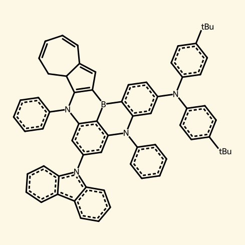 CC(C)(C)c1ccc(N(c2ccc(C(C)(C)C)cc2)c2ccc3c(c2)N(c2ccccc2)c2cc(-n4c5ccccc5c5ccccc54)cc4c2B3C2=C(C3CC=CC=CC3=C2)N4c2ccccc2)cc1